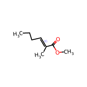 CCC/C=C(\C)C(=O)OC